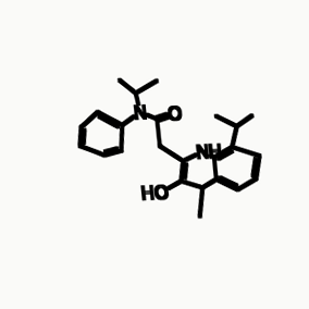 CC(C)c1cccc2c1NC(CC(=O)N(c1ccccc1)C(C)C)=C(O)C2C